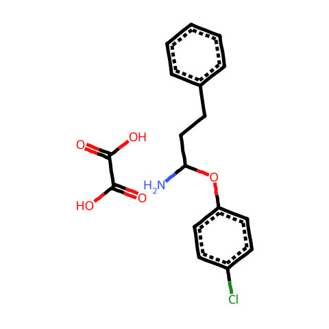 NC(CCc1ccccc1)Oc1ccc(Cl)cc1.O=C(O)C(=O)O